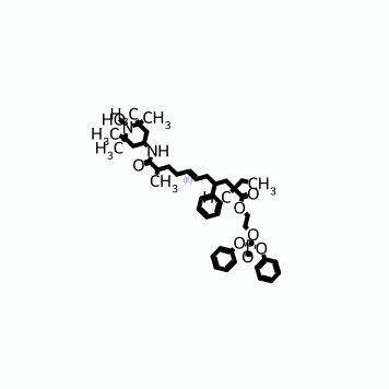 CCC(C)(CC(C/C=C/CCC(C)C(=O)NC1CC(C)(C)N(O)C(C)(C)C1)c1ccccc1)C(=O)OCCOP(=O)(Oc1ccccc1)Oc1ccccc1